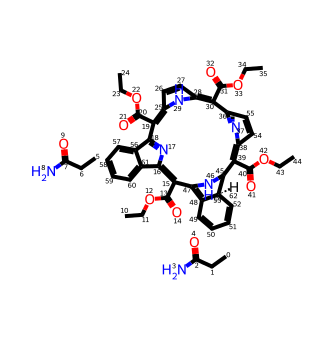 CCC(N)=O.CCC(N)=O.CCOC(=O)C1=C2N=C(C(C(=O)OCC)=c3ccc([nH]3)=C(C(=O)OCC)C3=NC(=C(C(=O)OCC)C4NC1=C1C=CC=C[C@@H]14)C=C3)c1ccccc12